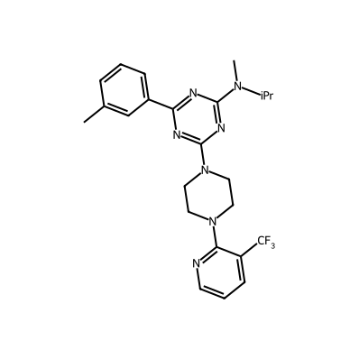 Cc1cccc(-c2nc(N3CCN(c4ncccc4C(F)(F)F)CC3)nc(N(C)C(C)C)n2)c1